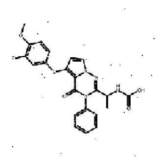 COc1ccc(Sc2ccn3nc(C(C)NC(=O)O)n(-c4ccccc4)c(=O)c23)cc1F